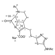 CC(=O)Nc1nnc(SCC2=C(C(=O)[O-])N3C(=O)[C@@H]4[C@H]3C2CCN4C(C)=O)s1.[Na+]